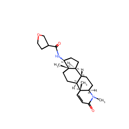 CN1C(=O)C=C[C@]2(C)[C@H]3CC[C@]4(C)[C@@H](NC(=O)C5CCOC5)CC[C@H]4[C@@H]3CC[C@@H]12